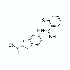 CCNC1Cc2ccc(NC(=N)C3=CC=CCC3=S)cc2C1